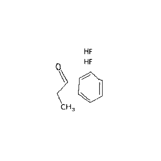 CCC=O.F.F.c1ccccc1